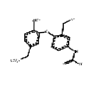 CCOC(=O)Cc1ccc(OC)c(Oc2ccc(NC(=O)C(C)C)cc2CS)c1